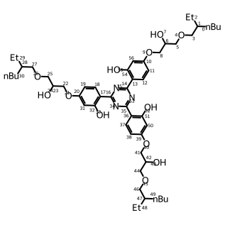 CCCCC(CC)COCC(O)COc1ccc(-c2nc(-c3ccc(OCC(O)COCC(CC)CCCC)cc3O)nc(-c3ccc(OCC(O)COCC(CC)CCCC)cc3O)n2)c(O)c1